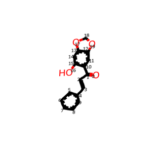 O=C(/C=C/c1ccccc1)c1cc2c(cc1O)OCO2